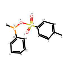 Cc1ccc(S(=O)(=O)OP(C)c2ccccc2)cc1